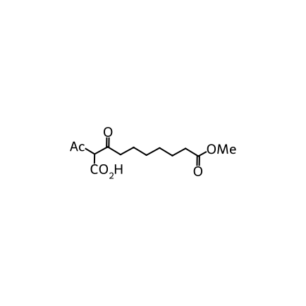 COC(=O)CCCCCCC(=O)C(C(C)=O)C(=O)O